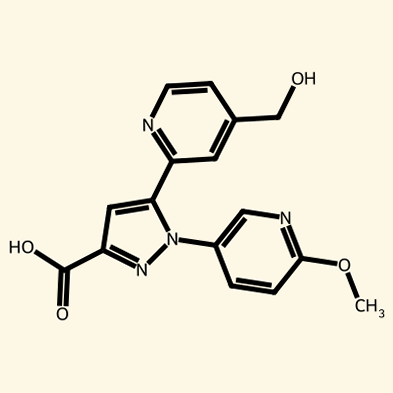 COc1ccc(-n2nc(C(=O)O)cc2-c2cc(CO)ccn2)cn1